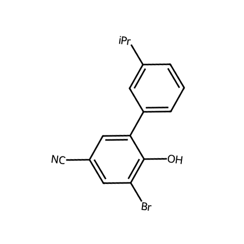 CC(C)c1cccc(-c2cc(C#N)cc(Br)c2O)c1